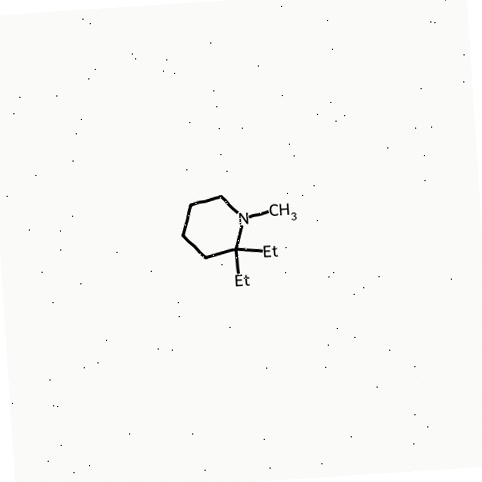 CCC1(CC)CCCCN1C